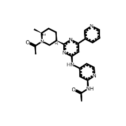 CC(=O)Nc1cc(Nc2cc(-c3cccnc3)nc([C@@H]3CC[C@H](C)N(C(C)=O)C3)n2)ccn1